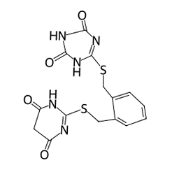 O=C1CC(=O)NC(SCc2ccccc2CSc2nc(=O)[nH]c(=O)[nH]2)=N1